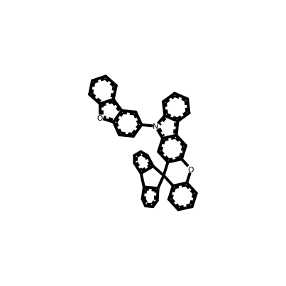 c1ccc2c(c1)Oc1cc3c4ccccc4n(-c4ccc5oc6ccccc6c5c4)c3cc1C21c2ccccc2-c2ccccc21